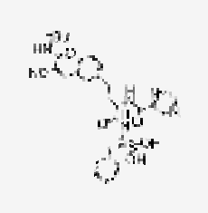 CC(C)(C)NC(=O)C(C#N)=Cc1cccc(CCC(NC(=O)c2cnccn2)C(=O)N[C@@H](Cc2ccccc2)B(O)O)c1